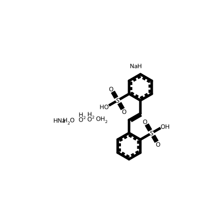 O.O.O.O.O=S(=O)(O)c1ccccc1C=Cc1ccccc1S(=O)(=O)O.[NaH].[NaH]